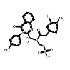 CCS(=O)(=O)CCN(C(=O)Cc1ccc(C(F)(F)F)c(F)c1)[C@H](C)c1nc2ccccc2c(=O)n1-c1ccc(C#N)cc1